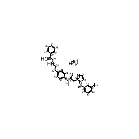 Cl.Cl.O=C(Cc1nccn1Cc1cccc(I)c1)Nc1ccc(CCNCC(O)c2ccccc2)cc1